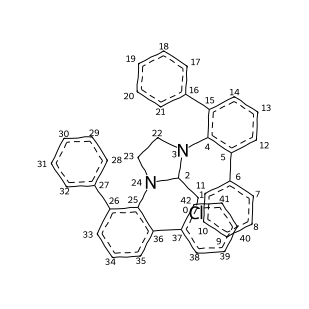 ClCC1N(c2c(-c3ccccc3)cccc2-c2ccccc2)CCN1c1c(-c2ccccc2)cccc1-c1ccccc1